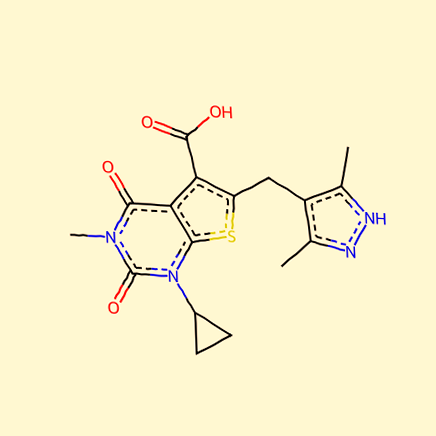 Cc1n[nH]c(C)c1Cc1sc2c(c1C(=O)O)c(=O)n(C)c(=O)n2C1CC1